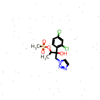 CC(OS(C)(=O)=O)C(O)(Cn1ccnn1)c1ccc(Cl)cc1Cl